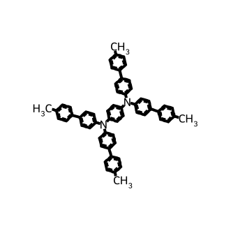 Cc1ccc(-c2ccc(N(c3ccc(-c4ccc(C)cc4)cc3)c3ccc(N(c4ccc(-c5ccc(C)cc5)cc4)c4ccc(-c5ccc(C)cc5)cc4)cc3)cc2)cc1